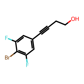 OCCC#Cc1cc(F)c(Br)c(F)c1